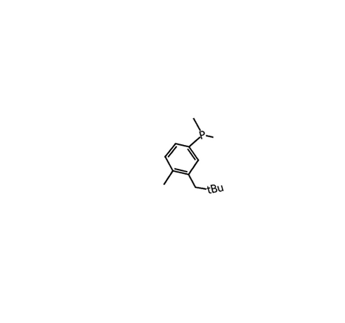 Cc1ccc(P(C)C)cc1CC(C)(C)C